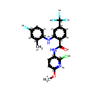 COc1ccc(NC(=O)c2ccc(C(F)(F)F)cc2Nc2ccc(F)cc2C)c(Cl)n1